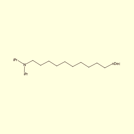 CCCCCCCCCCCCCCCCCCCCN(C(C)C)C(C)C